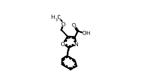 COCc1oc(-c2ccccc2)nc1C(=O)O